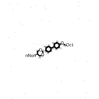 CCCCCCCCC[C@H]1CO[C@H](c2ccc(-c3ccc(OCCCCCCCC)cc3)cc2)OC1